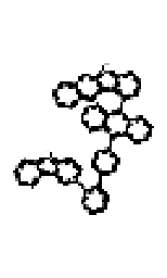 c1ccc(-c2ccc3oc4ccccc4c3c2)c(-c2ccc(-c3c4ccccc4c(-c4cccc5oc6cc7ccccc7cc6c45)c4ccccc34)cc2)c1